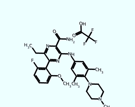 CCc1nc(C(N)=O)c(Nc2cc(C)c(N3CCN(C)CC3)c(C)c2)nc1-c1c(F)cccc1OC.O=C(O)C(F)(F)F